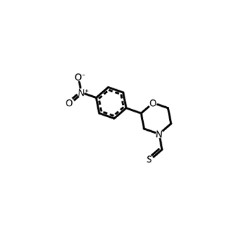 O=[N+]([O-])c1ccc(C2CN(C=S)CCO2)cc1